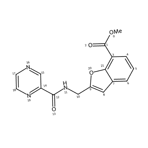 COC(=O)c1cccc2cc(CNC(=O)c3cnccn3)oc12